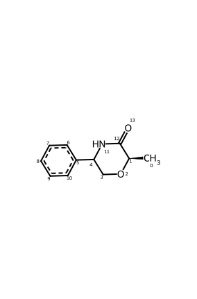 C[C@H]1OCC(c2ccccc2)NC1=O